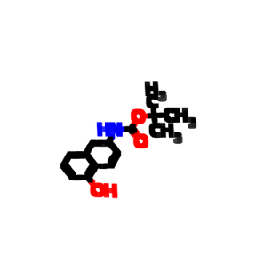 CC(C)(C)OC(=O)Nc1ccc2c(O)cccc2c1